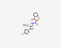 O=C(O)c1c(-c2ccc(Cl)cc2)csc1NC(=O)c1coc2ccccc2c1=O